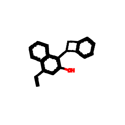 C=Cc1cc(O)c(C2Cc3ccccc32)c2ccccc12